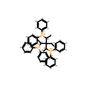 CCC(C(C)P(c1ccccc1)c1ccccc1)(C(C)P(c1ccccc1)c1ccccc1)C(C)P(c1ccccc1)c1ccccc1